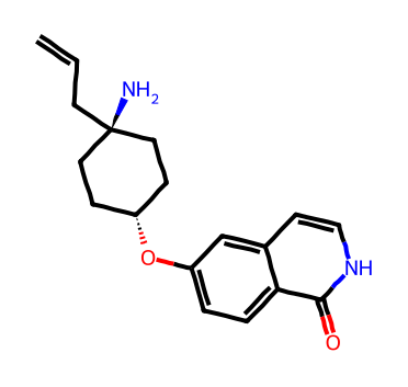 C=CC[C@]1(N)CC[C@H](Oc2ccc3c(=O)[nH]ccc3c2)CC1